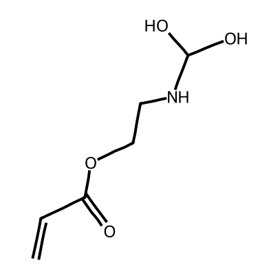 C=CC(=O)OCCNC(O)O